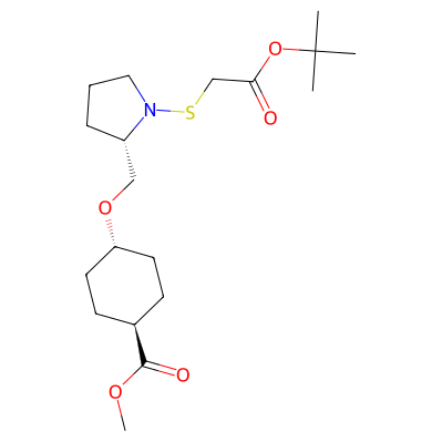 COC(=O)[C@H]1CC[C@H](OC[C@@H]2CCCN2SCC(=O)OC(C)(C)C)CC1